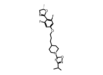 CC(C)c1noc(N2CCC(CCCOc3cc(F)c(C4=NC[C@H](C)O4)c(F)c3)CC2)n1